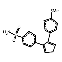 CSc1ccc(C2=CCC=C2c2ccc(S(N)(=O)=O)cc2)cc1